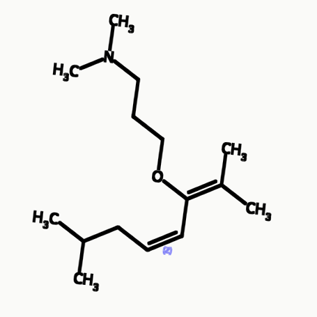 CC(C)=C(/C=C\CC(C)C)OCCCN(C)C